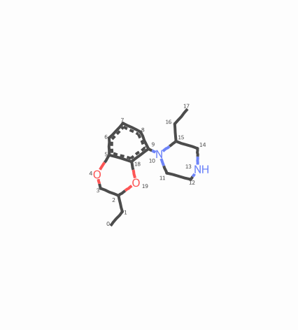 CCC1COc2cccc(N3CCNCC3CC)c2O1